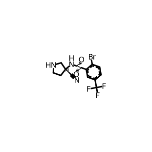 N#C[C@@]1(NS(=O)(=O)c2cc(C(F)(F)F)ccc2Br)CCNC1